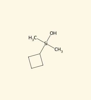 C[Si](C)(O)C1CCC1